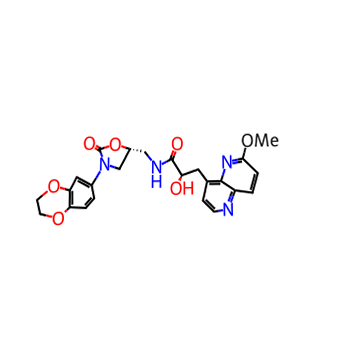 COc1ccc2nccc(C[C@@H](O)C(=O)NC[C@@H]3CN(c4ccc5c(c4)OCCO5)C(=O)O3)c2n1